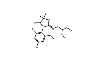 CCc1cc(Br)cc(F)c1N1C(=O)C(C)(C)N/C1=N\CC(OC)OC